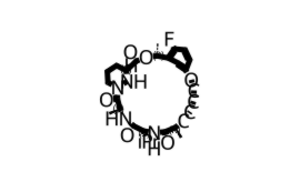 CC(C)[C@@H]1NC(=O)[C@H](C)CCCCOc2ccc(F)c(c2)[C@@H](C)OC(=O)[C@@H]2CCCN(N2)C(=O)[C@H](C)NC1=O